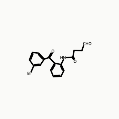 O=CCCC(=O)Nc1ccccc1C(=O)c1cccc(Br)c1